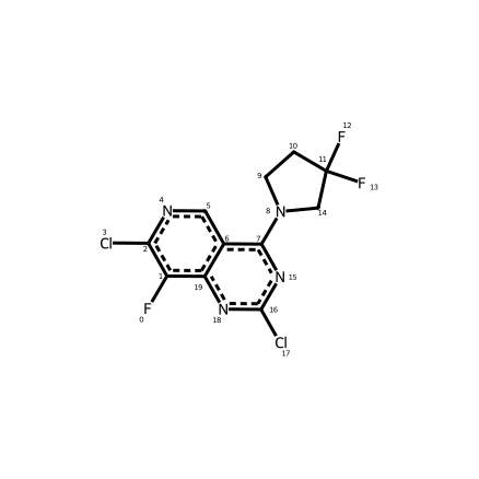 Fc1c(Cl)ncc2c(N3CCC(F)(F)C3)nc(Cl)nc12